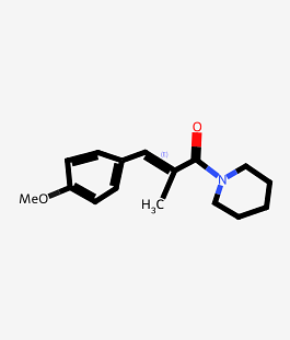 COc1ccc(/C=C(\C)C(=O)N2CCCCC2)cc1